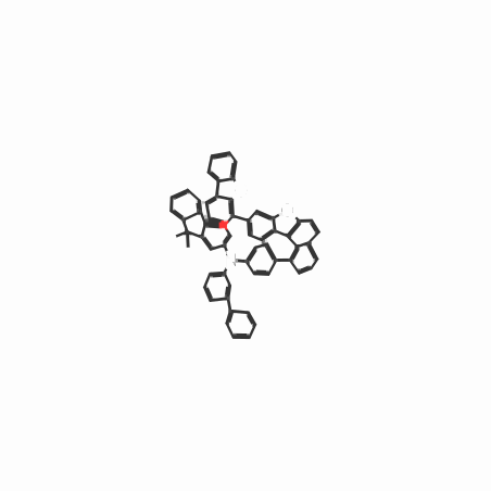 CC1(C)c2ccccc2-c2ccc(N(c3ccc(-c4cccc5ccc6oc7cc(-c8cccc9c8oc8ccccc89)ccc7c6c45)cc3)c3cccc(-c4ccccc4)c3)cc21